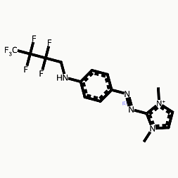 Cn1cc[n+](C)c1/N=N/c1ccc(NCC(F)(F)C(F)(F)C(F)(F)F)cc1